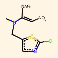 CNC(=C[N+](=O)[O-])N(C)Cc1cnc(Cl)s1